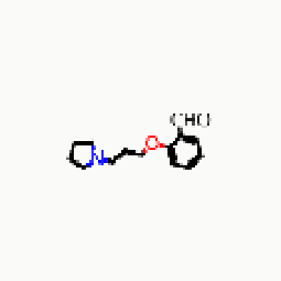 O=Cc1ccccc1OCCCN1CCCC1